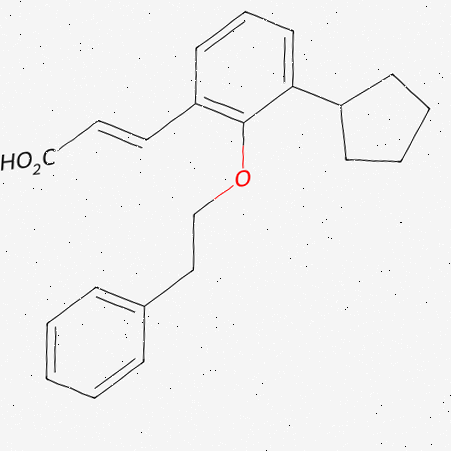 O=C(O)/C=C/c1cccc(C2CCCC2)c1OCCc1ccccc1